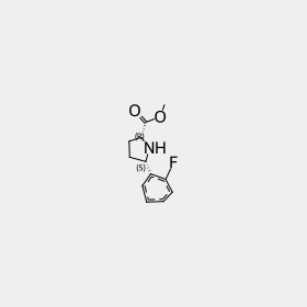 COC(=O)[C@H]1CC[C@@H](c2ccccc2F)N1